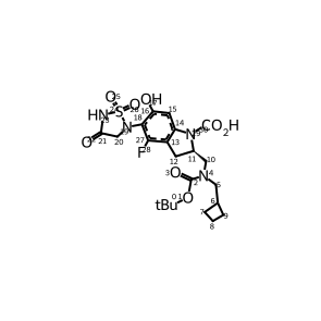 CC(C)(C)OC(=O)N(CC1CCC1)C[C@H]1Cc2c(cc(O)c(N3CC(=O)NS3(=O)=O)c2F)N1C(=O)O